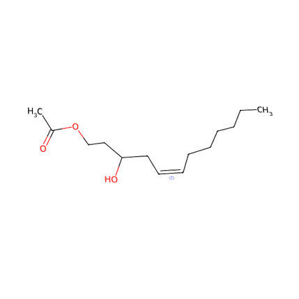 CCCCCC/C=C\CC(O)CCOC(C)=O